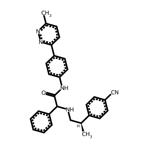 Cc1ccc(-c2ccc(NC(=O)C(NC[C@H](C)c3ccc(C#N)cc3)c3ccccc3)cc2)nn1